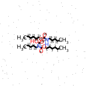 CCCCCCOC(=O)N(CCCCC)C(=O)O.CCCCCCOC(=O)NCCCCC